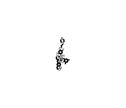 Cc1cc(C)c(OC(=O)NC2(Cc3ccc4c(c3)C=COO4)C=CNC(Nc3ccc(OCCCN4CCN(C)CC4)c(F)c3)N2)c(C)c1